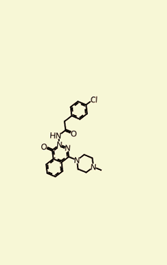 CN1CCN(c2nn(NC(=O)Cc3ccc(Cl)cc3)c(=O)c3ccccc23)CC1